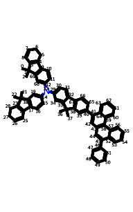 CC1(C)C2=C(CCC=C2)c2ccc(N(c3ccc4c(c3)C(C)(C)C3=C4C=CCC3)c3ccc4c(c3)C(C)(C)c3cc(-c5cc6cc(-c7ccccc7)c7ccccc7c6c6ccccc56)ccc3-4)cc21